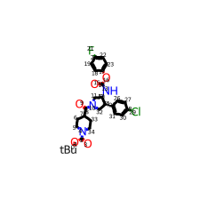 CC(C)(C)OC(=O)N1CCC(C(=O)N2C[C@H](NC(=O)Oc3ccc(F)cc3)[C@@H](c3ccc(Cl)cc3)C2)CC1